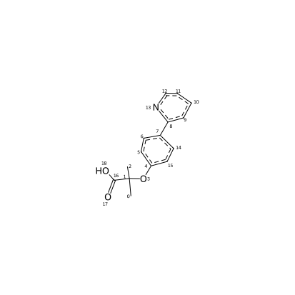 CC(C)(Oc1ccc(-c2ccccn2)cc1)C(=O)O